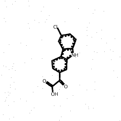 O=C(O)C(=O)c1ccc2c(c1)[nH]c1ccc(Cl)cc12